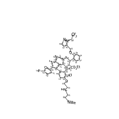 CCOC(=O)C(Oc1ncnc2sc(-c3ccc(F)o3)c(-c3ccc(OCCNCCNC)c(Cl)c3C)c12)C(F)c1ccccc1OCc1ccnn1CC(F)(F)F